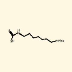 CCCCCCCCCCCCCNC(=S)S